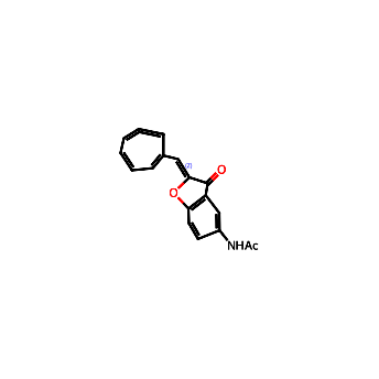 CC(=O)Nc1ccc2c(c1)C(=O)/C(=C/C1=CC=CC=C=C1)O2